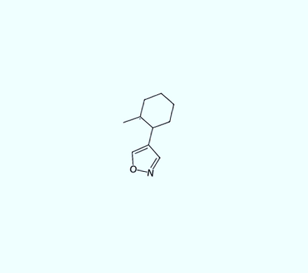 C[C]1CCCCC1c1cnoc1